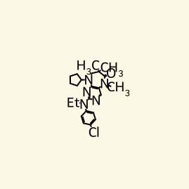 CCN(c1ccc(Cl)cc1)c1ncc2c(n1)N(C1CCCC1)CC(C)(C)C(=O)N2C